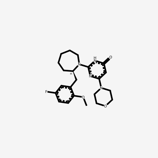 COc1ccc(F)cc1C[C@H]1CCCCCN1c1nc(N2CCOCC2)cc(=O)[nH]1